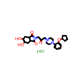 Cl.O=C(CN1CCN(c2ccccc2OC2CCCC2)CC1)CN1C(=O)C2CC(O)C(O)CC2C1=O